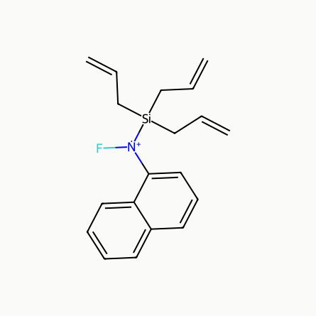 C=CC[Si](CC=C)(CC=C)[N+](F)c1cccc2ccccc12